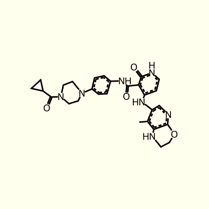 Cc1c(Nc2cc[nH]c(=O)c2C(=O)Nc2ccc(N3CCN(C(=O)C4CC4)CC3)cc2)cnc2c1NCCO2